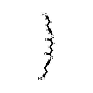 C#CCCC#COC(=O)CCCC(=O)OC#CCCC#C